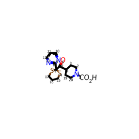 O=C(O)N1CCC(C(=O)C2(c3ncccn3)SCCCS2)CC1